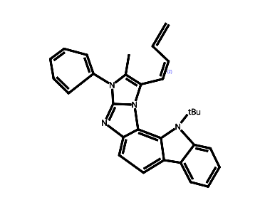 C=C/C=C\c1c(C)n(-c2ccccc2)c2nc3ccc4c5ccccc5n(C(C)(C)C)c4c3n12